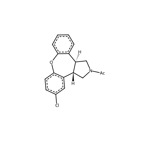 CC(=O)N1C[C@@H]2c3ccccc3Oc3ccc(Cl)cc3[C@H]2C1